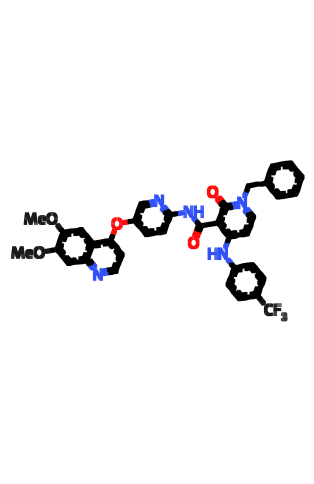 COc1cc2nccc(Oc3ccc(NC(=O)c4c(Nc5ccc(C(F)(F)F)cc5)ccn(Cc5ccccc5)c4=O)nc3)c2cc1OC